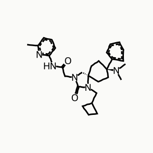 Cc1cccc(NC(=O)CN2C[C@]3(CC[C@](c4ccccc4)(N(C)C)CC3)N(CC3CCC3)C2=O)n1